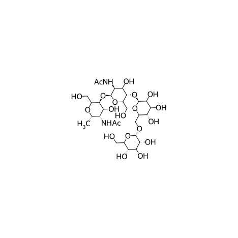 CC(=O)N[C@H]1C(O)[C@H](O[C@@H]2OC(CO[C@H]3OC(CO)[C@@H](O)C(O)[C@H]3O)[C@@H](O)C(O)C2O)C(CO)O[C@H]1O[C@@H]1C(CO)O[C@@H](C)[C@@H](NC(C)=O)C1O